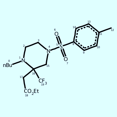 CCCCN1CCN(S(=O)(=O)c2ccc(C)cc2)CC1(CC(=O)OCC)C(F)(F)F